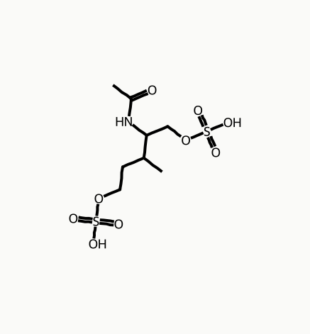 CC(=O)NC(COS(=O)(=O)O)C(C)CCOS(=O)(=O)O